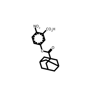 O=C(O)c1cc(OC(=O)C23CC4CC(CC(C4)C2)C3)ccc1[N+](=O)[O-]